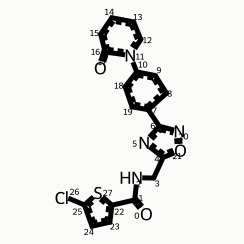 O=C(NCc1nc(-c2ccc(-n3ccccc3=O)cc2)no1)c1ccc(Cl)s1